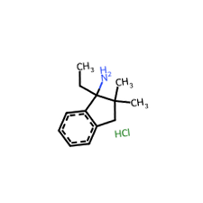 CCC1(N)c2ccccc2CC1(C)C.Cl